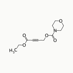 CCOC(=O)C#CCOC(=O)N1CCOCC1